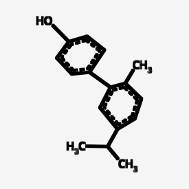 Cc1ccc(C(C)C)cc1-c1ccc(O)cc1